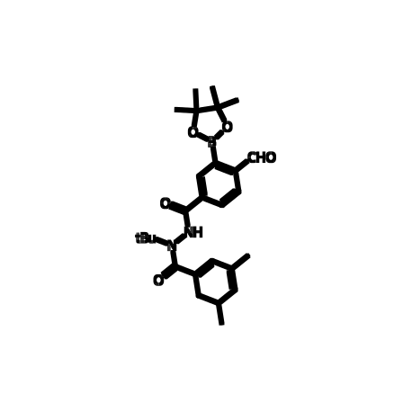 CC1=CC(C)CC(C(=O)N(NC(=O)c2ccc(C=O)c(B3OC(C)(C)C(C)(C)O3)c2)C(C)(C)C)=C1